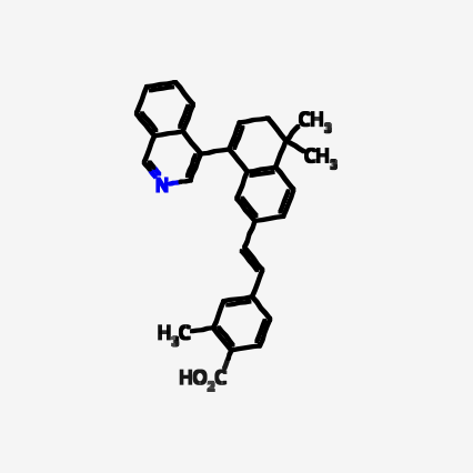 Cc1cc(/C=C/c2ccc3c(c2)C(c2cncc4ccccc24)=CCC3(C)C)ccc1C(=O)O